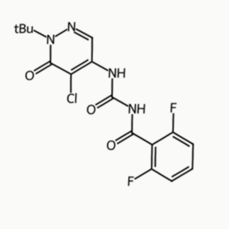 CC(C)(C)n1ncc(NC(=O)NC(=O)c2c(F)cccc2F)c(Cl)c1=O